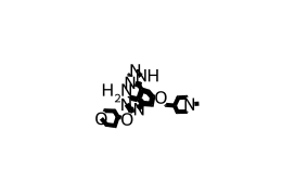 CN1CCC(COc2cc(-c3ncn[nH]3)c3c(N)nc(OC4CCOCC4)nc3c2)CC1